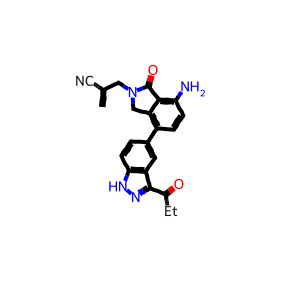 C=C(C#N)CN1Cc2c(-c3ccc4[nH]nc(C(=O)CC)c4c3)ccc(N)c2C1=O